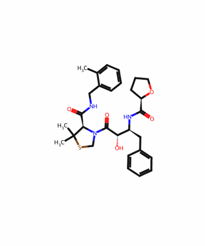 Cc1ccccc1CNC(=O)[C@H]1N(C(=O)[C@@H](O)[C@H](Cc2ccccc2)NC(=O)[C@H]2CCCO2)CSC1(C)C